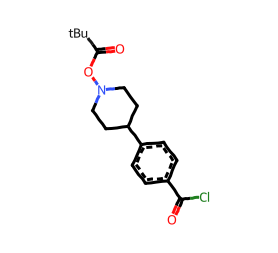 CC(C)(C)C(=O)ON1CCC(c2ccc(C(=O)Cl)cc2)CC1